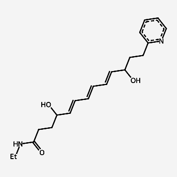 CCNC(=O)CCC(O)C=CC=CC=CC(O)CCc1ccccn1